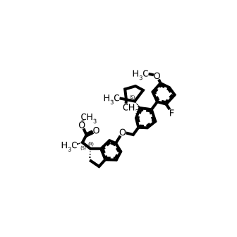 COC(=O)[C@@H](C)[C@H]1CCc2ccc(OCc3ccc(-c4cc(OC)ccc4F)c([C@H]4CCCC4(C)C)c3)cc21